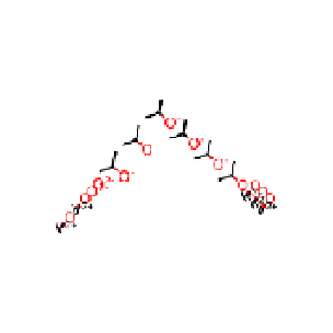 CC(C)[O-].CC(C)[O-].CC(C)[O-].CC(C)[O-].CC(C)[O-].CC(C)[O-].[O-2].[O-2].[O]=[V+2].[O]=[V+2].[O]=[V+2].[O]=[V+2].[O]=[V+2]